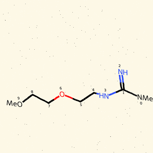 CNC(=N)NCCOCCOC